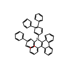 c1ccc(-c2cccc(N(c3ccc(-c4ccccc4)c(-c4ccccc4)c3)c3c(-c4ccccc4)c4ccccc4c4ccccc34)c2)cc1